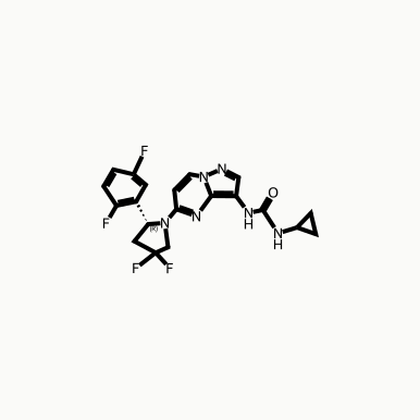 O=C(Nc1cnn2ccc(N3CC(F)(F)C[C@@H]3c3cc(F)ccc3F)nc12)NC1CC1